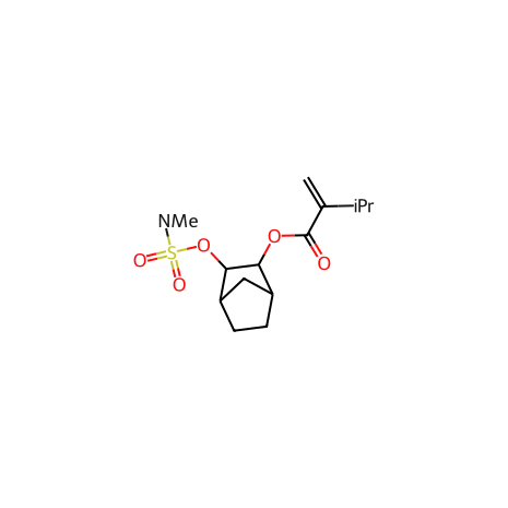 C=C(C(=O)OC1C2CCC(C2)C1OS(=O)(=O)NC)C(C)C